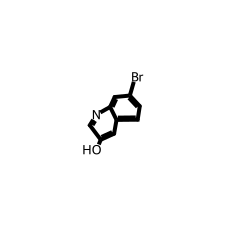 Oc1cnc2cc(Br)ccc2c1